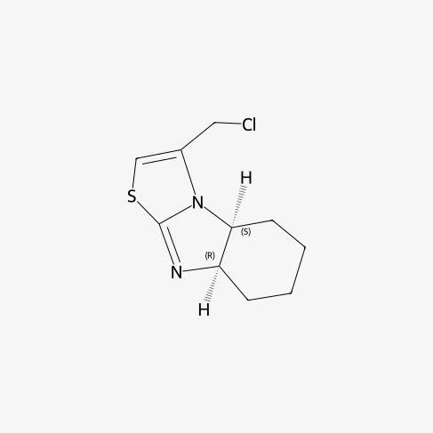 ClCC1=CSC2=N[C@@H]3CCCC[C@@H]3N12